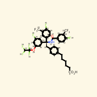 O=C(O)CCCCCc1ccc(C[C@@](NC(=O)c2ccc(F)c(C(F)(F)F)c2)(c2cc(F)cc(OC(F)(F)C(F)F)c2)c2ccc(F)c(C(F)(F)F)c2)cc1